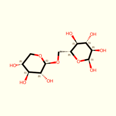 O[C@@H]1[C@@H](O)[C@@H](O)O[C@H](CO[C@@H]2OC[C@@H](O)[C@H](O)[C@H]2O)[C@H]1O